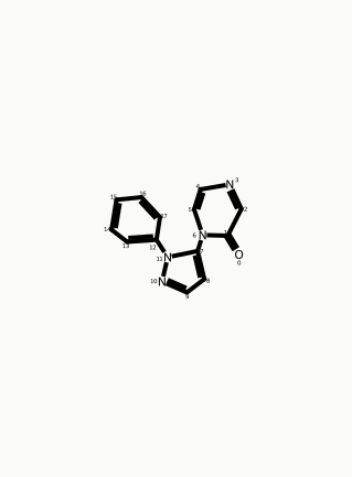 O=c1cnccn1-c1ccnn1-c1ccccc1